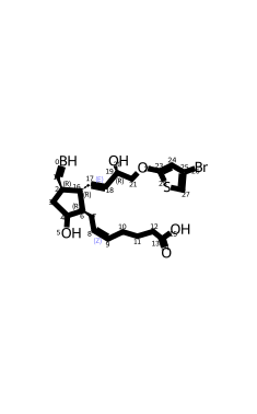 B=C[C@@H]1CC(O)[C@H](C/C=C\CCCC(=O)O)[C@H]1/C=C/[C@@H](O)COc1cc(Br)cs1